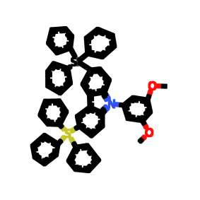 COc1cc(OC)cc(-n2c3ccc([Si](c4ccccc4)(c4ccccc4)c4ccccc4)cc3c3cc(S(c4ccccc4)(c4ccccc4)c4ccccc4)ccc32)c1